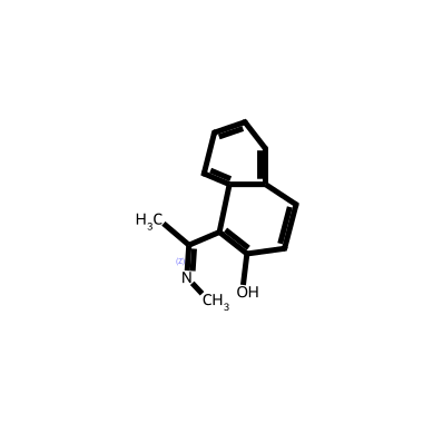 C/N=C(/C)c1c(O)ccc2ccccc12